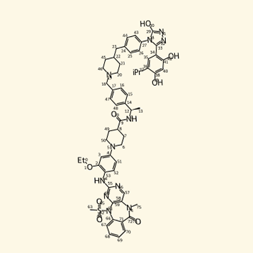 CCOc1cc(N2CCC(C(=O)N[C@H](C)c3ccc(CN4CCC(Cc5ccc(-n6c(O)nnc6-c6cc(C(C)C)c(O)cc6O)cc5)CC4)cc3)CC2)ccc1Nc1ncc2c(n1)N(S(C)(=O)=O)c1ccccc1C(=O)N2C